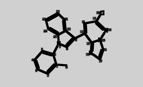 Cc1ccccc1-n1cc(-c2cc(Cl)nn3ccnc23)c2ccccc21